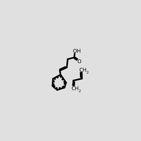 C=CC=C.O=C(O)CC=Cc1ccccc1